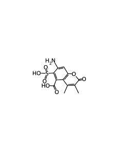 Cc1c(C)c2c(C(=O)O)c(S(=O)(=O)O)c(N)cc2oc1=O